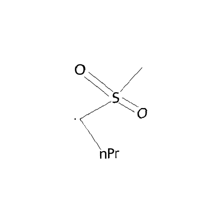 CCC[CH]S(C)(=O)=O